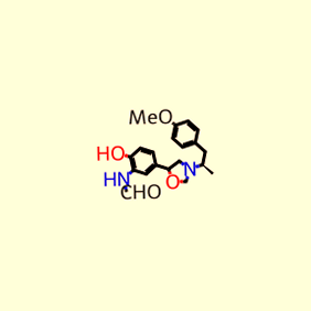 COc1ccc(C[C@@H](C)N2COC(c3ccc(O)c(NC=O)c3)C2)cc1